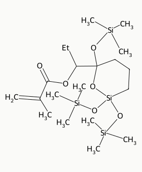 C=C(C)C(=O)OC(CC)C1(O[Si](C)(C)C)CCC[Si](O[Si](C)(C)C)(O[Si](C)(C)C)O1